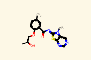 CCCCn1/c(=N/C(=O)c2cc(C(F)(F)F)ccc2OC[C@H](C)O)sc2ncncc21